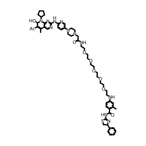 CC(=O)C1=C(C)c2cnc(Nc3ccc(N4CCN(CC(=O)NCCOCCOCCOCCOCCOCCNc5ccc(C(=O)NC6=NC(c7ccccc7)CS6)c(C)c5)CC4)cn3)nc2N(C2CCCC2)C1O